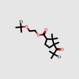 CCC(C)(C)OCCOC(=O)C1CCC(C)(C(=O)C(C)(C)CC)C1(C)C